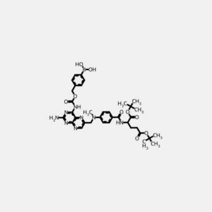 CN(Cc1cnc2nc(N)nc(NC(=O)OCc3ccc(B(O)O)cc3)c2n1)c1ccc(C(=O)NC(CCC(=O)OC(C)(C)C)C(=O)OC(C)(C)C)cc1